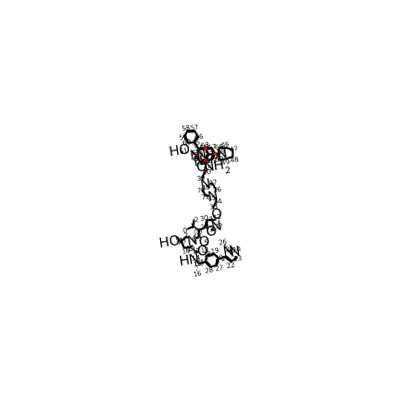 CC(C)[C@H](C(=O)N1C[C@H](O)C[C@H]1C(=O)N[C@@H](C)c1ccc(-c2ccnn2C)cc1)c1cc(OCCN2CCN(CCOc3cc(N4C5CCC4CN(c4cc(-c6ccccc6O)nnc4N)C5)ccn3)CC2)no1